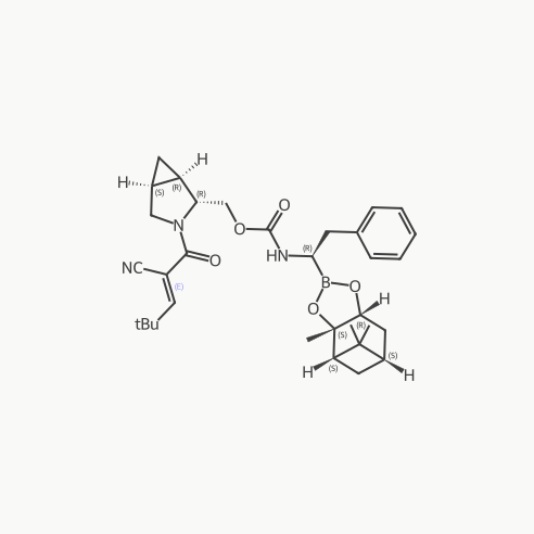 CC(C)(C)/C=C(\C#N)C(=O)N1C[C@H]2C[C@H]2[C@@H]1COC(=O)N[C@@H](Cc1ccccc1)B1O[C@@H]2C[C@@H]3C[C@@H](C3(C)C)[C@]2(C)O1